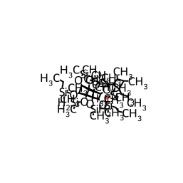 CCCC1C(C)C(C)C1CC[Si](C)(C)OC12C3(O[SiH2]C)C4(O[SiH2]C)C1(O[SiH2]C)C1(O[Si](C)(C)CCC)C2(O[Si](C)(C)C)C3(O[Si](C)(C)C)C41O[Si](C)(C)CCC